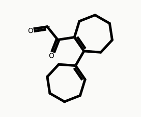 O=[C]C(=O)C1=C(C2=CCCCCC2)CCCCC1